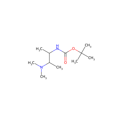 CC(NC(=O)OC(C)(C)C)C(C)N(C)C